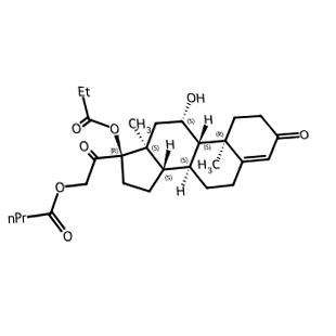 CCCC(=O)OCC(=O)[C@@]1(OC(=O)CC)CC[C@H]2[C@@H]3CCC4=CC(=O)CC[C@]4(C)[C@H]3[C@@H](O)C[C@@]21C